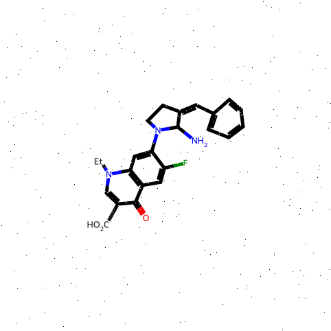 CCn1cc(C(=O)O)c(=O)c2cc(F)c(N3CCC(=Cc4ccccc4)C3N)cc21